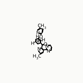 Cc1ccc(O[C@@H]2C[C@H]3CC[C@@H]2N(C(=O)c2ncc(C)cc2-c2ncccn2)C3)nc1